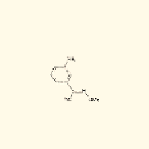 CON=C(C#N)c1cccc(N)c1